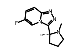 CN1CCC[C@@]1(C)c1nnc2ccc(F)cn12